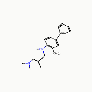 CC(CN(C)C)CN(C)c1ccc(-c2ccccc2)cc1C=O